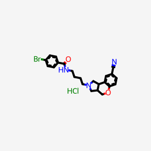 Cl.N#Cc1ccc2c(c1)C1CN(CCCCNC(=O)c3ccc(Br)cc3)CC1CO2